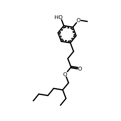 CCCCC(CC)COC(=O)CCc1ccc(O)c(OC)c1